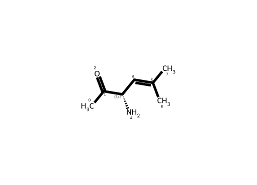 CC(=O)[C@@H](N)C=C(C)C